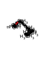 CCCn1c(=O)c2nc(C34CCC(CCC(=O)N(C)CC(=O)NCCOCCOCCNC(=O)CN(C)C(=O)CCCCCN5\C(=C/C=C/C=C/C6=[N+](C)c7ccccc7C6(C)C)C(C)(C)c6ccccc65)(CC3)CC4)[nH]c2n(CCC)c1=O